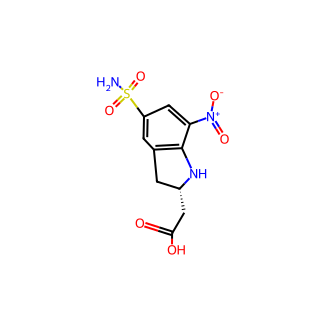 NS(=O)(=O)c1cc2c(c([N+](=O)[O-])c1)N[C@H](CC(=O)O)C2